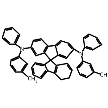 Cc1cccc(N(c2ccccc2)c2ccc3c(c2)C2(C4=C(CCC=C4)c4ccccc42)c2cc(N(c4ccccc4)c4cccc(C)c4)ccc2-3)c1